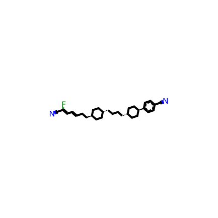 N#CC(F)=CC=CCC[C@H]1CC[C@H](CCCC[C@H]2CC[C@H](c3ccc(C#N)cc3)CC2)CC1